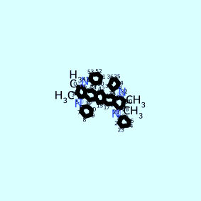 Cc1c(C)/c(=N/c2ccccc2)c2cc3cc4cc5/c(=N/c6ccccc6)c(C)c(C)/c(=N/c6ccccc6)c5cc4cc3cc2/c1=N\c1ccccc1